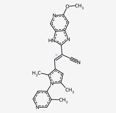 COc1cc2nc(/C(C#N)=C/c3cc(C)n(-c4ccncc4C)c3C)[nH]c2cn1